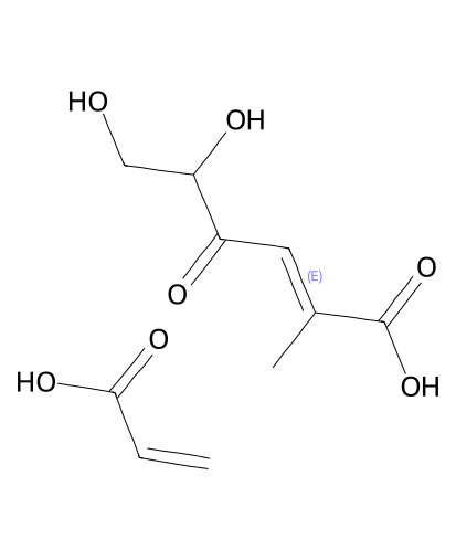 C/C(=C\C(=O)C(O)CO)C(=O)O.C=CC(=O)O